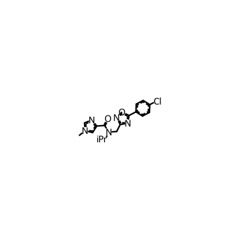 CC(C)N(Cc1noc(-c2ccc(Cl)cc2)n1)C(=O)c1cn(C)cn1